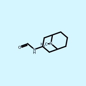 CN1C2CCCC1CC(N[C]=O)C2